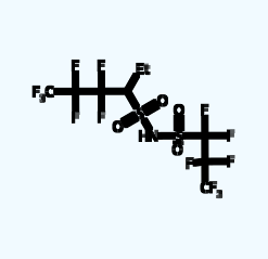 CCC(C(F)(F)C(F)(F)C(F)(F)F)S(=O)(=O)NS(=O)(=O)C(F)(F)C(F)(F)C(F)(F)F